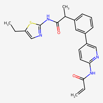 C=CC(=O)Nc1ccc(-c2cccc(C(C)C(=O)Nc3ncc(CC)s3)c2)cn1